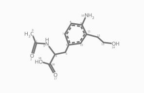 CC(=O)NC(Cc1ccc(N)c(CCO)c1)C(=O)O